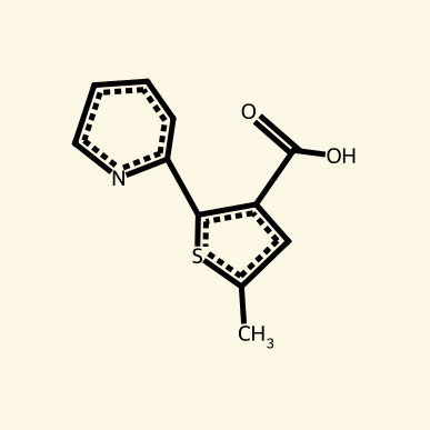 Cc1cc(C(=O)O)c(-c2ccccn2)s1